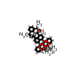 CC(C)c1cccc(C(C)C)c1N1C(=O)c2ccc(N3c4ccccc4C(C)(C)c4ccccc43)c3c(N4c5ccccc5C(C)(C)c5ccccc54)ccc(c23)C1=O